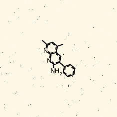 Cc1cc(C)c2cc(-c3ccccc3)c(N)nc2n1